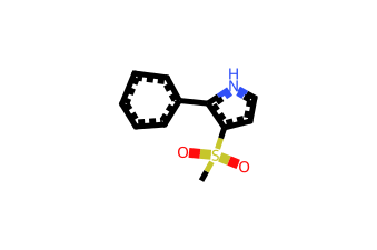 CS(=O)(=O)c1cc[nH]c1-c1ccccc1